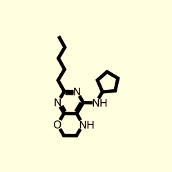 CCCCCc1nc(NC2CCCC2)c2c(n1)OCCN2